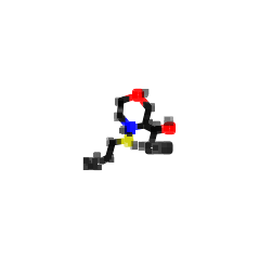 N#CCCSN1CCOCC1C(=O)C=O